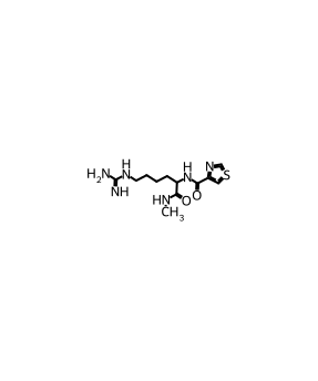 CNC(=O)C(CCCCNC(=N)N)NC(=O)c1cscn1